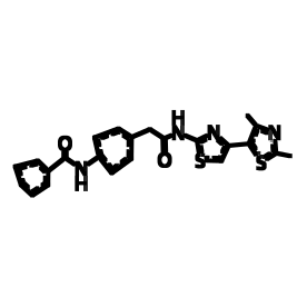 Cc1nc(C)c(-c2csc(NC(=O)Cc3ccc(NC(=O)c4ccccc4)cc3)n2)s1